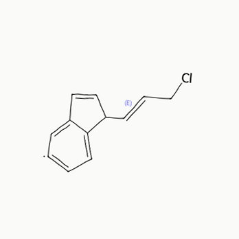 ClC/C=C/C1C=Cc2c[c]ccc21